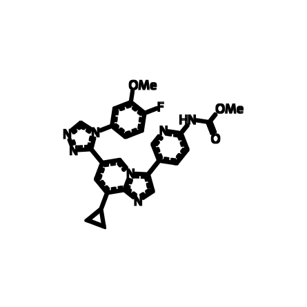 COC(=O)Nc1ccc(-c2cnc3c(C4CC4)cc(-c4nncn4-c4ccc(F)c(OC)c4)cn23)cn1